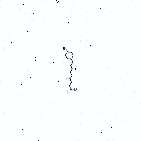 CCN(CC)CCNCCNCCN1CCN(CC)CC1